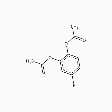 CC(=O)Oc1ccc(F)cc1OC(C)=O